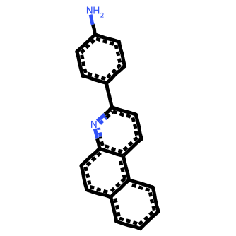 Nc1ccc(-c2ccc3c(ccc4ccccc43)n2)cc1